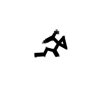 C=CCC(=C)C1(C(=O)O)CC1